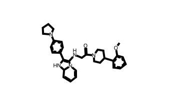 COc1ccccc1C1CCN(C(=O)CNC2=C(c3ccc(N4CCCC4)cc3)NC3C=CC=CN23)CC1